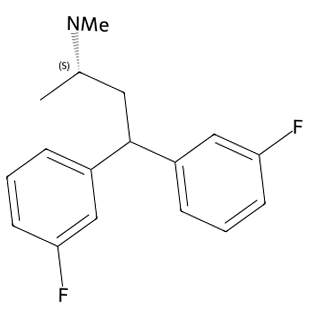 CN[C@@H](C)CC(c1cccc(F)c1)c1cccc(F)c1